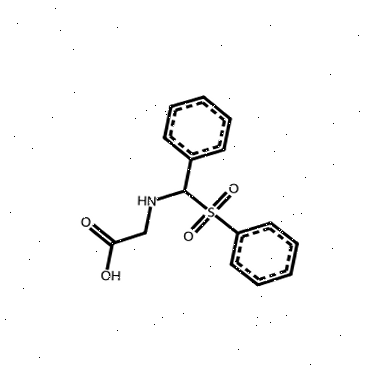 O=C(O)CNC(c1ccccc1)S(=O)(=O)c1ccccc1